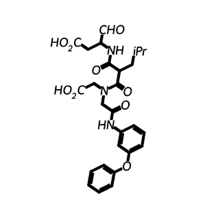 CC(C)CC(C(=O)NC(C=O)CC(=O)O)C(=O)N(CC(=O)O)CC(=O)Nc1cccc(Oc2ccccc2)c1